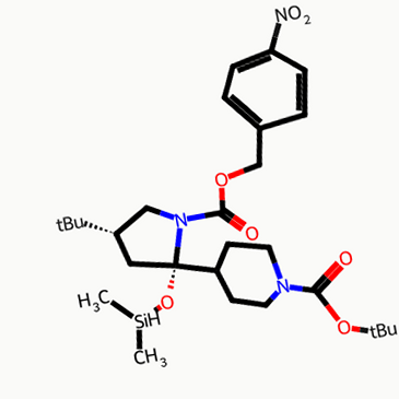 C[SiH](C)O[C@]1(C2CCN(C(=O)OC(C)(C)C)CC2)C[C@H](C(C)(C)C)CN1C(=O)OCc1ccc([N+](=O)[O-])cc1